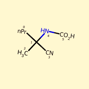 CCCC(C)(C#N)NC(=O)O